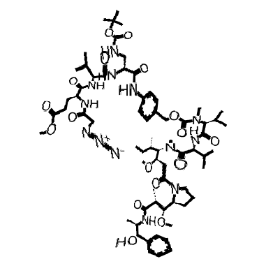 CC[C@H](C)[C@@H]([C@@H](CC(=O)N1CCC[C@H]1[C@H](OC)[C@@H](C)C(=O)N[C@H](C)[C@@H](O)c1ccccc1)OC)N(C)C(=O)[C@@H](NC(=O)[C@H](C(C)C)N(C)C(=O)OCc1ccc(NC(=O)[C@H](CNC(=O)OC(C)(C)C)NC(=O)[C@@H](NC(=O)[C@H](CCC(=O)OC)NC(=O)CN=[N+]=[N-])C(C)C)cc1)C(C)C